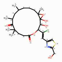 CC1CCCC2(C)OC2(O)C(O)C(C(Cl)=Cc2csc(CO)n2)OC(=O)CCC(C)(C)C(=O)C(C)C1